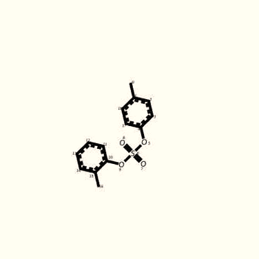 Cc1ccc(OS(=O)(=O)Oc2ccccc2C)cc1